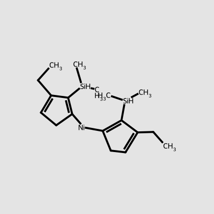 CCC1=CC[C]([Ni][C]2=C([SiH](C)C)C(CC)=CC2)=C1[SiH](C)C